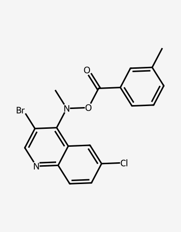 Cc1cccc(C(=O)ON(C)c2c(Br)cnc3ccc(Cl)cc23)c1